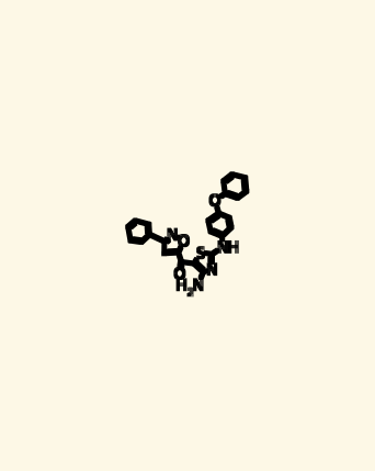 Nc1nc(Nc2ccc(Oc3ccccc3)cc2)sc1C(=O)c1cc(-c2ccccc2)no1